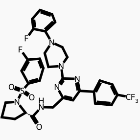 O=C(NCc1cc(-c2ccc(C(F)(F)F)cc2)nc(N2CCN(c3ccccc3F)CC2)n1)[C@@H]1CCCN1S(=O)(=O)c1cccc(F)c1